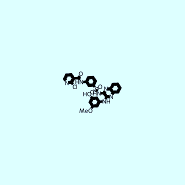 COc1cc(O)cc(Nc2nc3ccccc3nc2NS(=O)(=O)c2cccc(NC(=O)c3cccnc3Cl)c2)c1